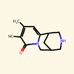 Cc1cc2n(c(=O)c1C#N)CC1CNCC2C1